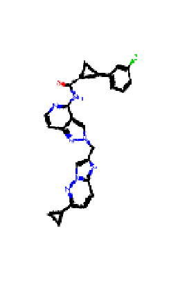 O=C(Nc1nccc2nn(Cc3cn4nc(C5CC5)ccc4n3)cc12)[C@H]1CC1c1cccc(Cl)c1